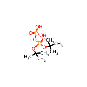 CC(C)(C)OP(=O)(OC(C)(C)C)OP(=O)(O)O